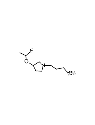 CC(F)OC1CCN(CCCC(C)(C)C)C1